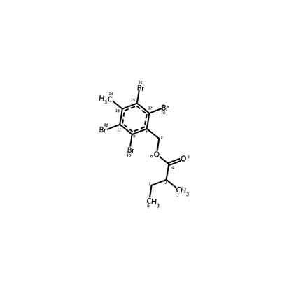 CCC(C)C(=O)OCc1c(Br)c(Br)c(C)c(Br)c1Br